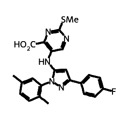 CSc1ncc(Nc2cc(-c3ccc(F)cc3)nn2-c2cc(C)ccc2C)c(C(=O)O)n1